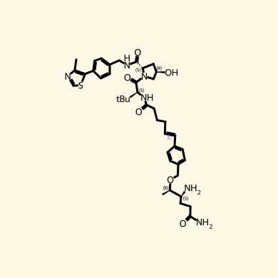 Cc1ncsc1-c1ccc(CNC(=O)[C@@H]2C[C@@H](O)CN2C(=O)[C@@H](NC(=O)CCC/C=C/c2ccc(CO[C@H](C)[C@@H](N)CCC(N)=O)cc2)C(C)(C)C)cc1